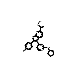 CC(C)NC(C)c1ccc2c(n1)nc(-c1ccc(F)cc1)n2-c1ccnc(NC2CCCC2)n1